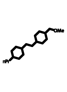 CCCC1CCC(CCC2CCC(COC)CC2)CC1